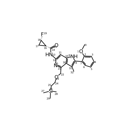 COc1ccccc1-c1[nH]c2cc(NC(=O)[C@@H]3C[C@@H]3F)nc(COCC[Si](C)(C)C)c2c1C